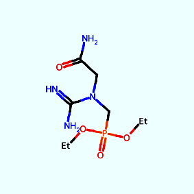 CCOP(=O)(CN(CC(N)=O)C(=N)N)OCC